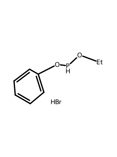 Br.CCOPOc1ccccc1